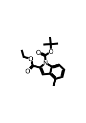 CCOC(=O)c1cc2c(C)cccc2n1C(=O)OC(C)(C)C